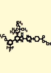 CCOC(=O)C1CCN(c2cnc(-c3nc4nc(-c5cc(OCC)nc(C(F)(F)F)c5)cc(N(C)CC(C)(C)COC)c4[nH]3)cn2)CC1